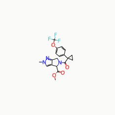 COC(=O)C1c2cn(C)nc2CN1C(=O)C1(c2ccc(OC(F)(F)F)cc2)CC1